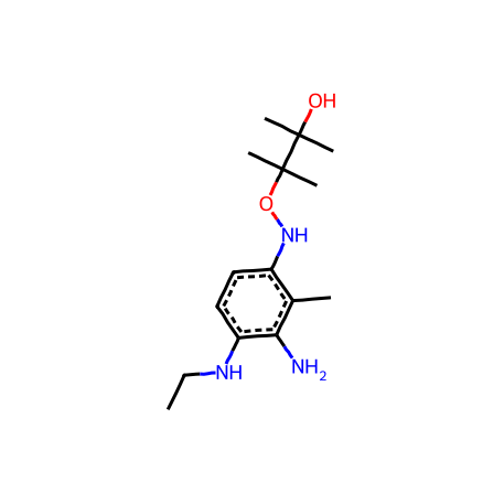 CCNc1ccc(NOC(C)(C)C(C)(C)O)c(C)c1N